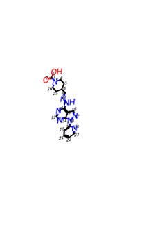 O=C(O)N1CCC(C=NNc2ncnc3c2cnn3-c2ccccn2)CC1